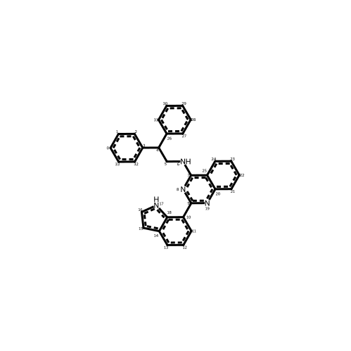 c1ccc(C(CNc2nc(-c3cccc4cc[nH]c34)nc3ccccc23)c2ccccc2)cc1